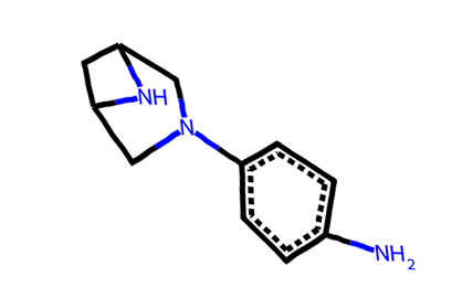 Nc1ccc(N2CC3CC(C2)N3)cc1